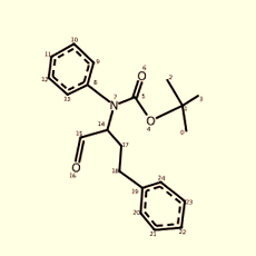 CC(C)(C)OC(=O)N(c1ccccc1)C(C=O)CCc1ccccc1